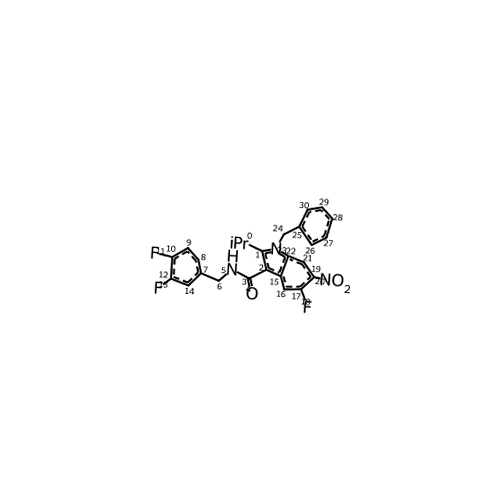 CC(C)c1c(C(=O)NCc2ccc(F)c(F)c2)c2cc(F)c([N+](=O)[O-])cc2n1Cc1ccccc1